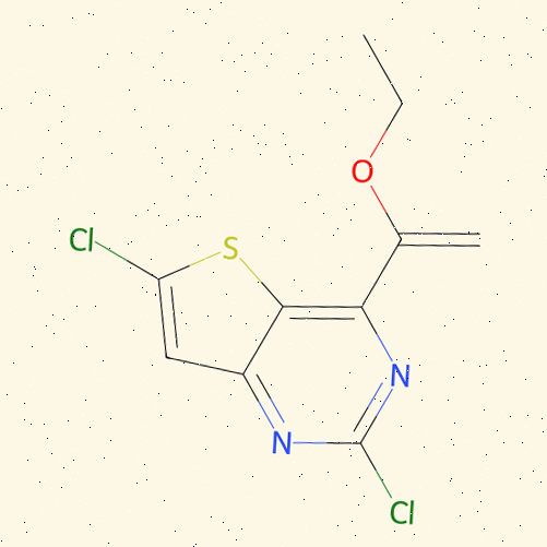 C=C(OCC)c1nc(Cl)nc2cc(Cl)sc12